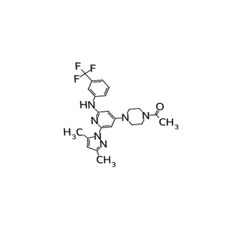 CC(=O)N1CCN(c2cc(Nc3cccc(C(F)(F)F)c3)nc(-n3nc(C)cc3C)c2)CC1